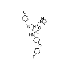 O=C(Nc1ccc(Oc2ccc(F)cc2)cc1)[C@@H]1C[C@@H](Cc2ccc(Cl)cc2)CN1C(=O)Cn1nccn1